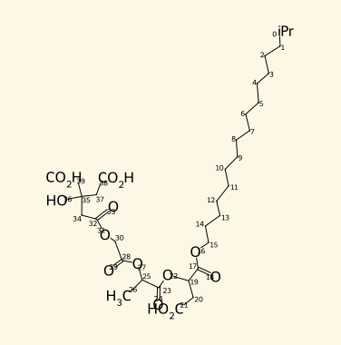 CC(C)CCCCCCCCCCCCCCCOC(=O)C(CC(=O)O)OC(=O)C(C)OC(=O)COC(=O)CC(O)(CC(=O)O)C(=O)O